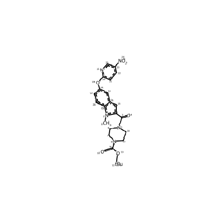 Cn1c(C(=O)N2CCN(C(=O)OC(C)(C)C)CC2)cc2cc(Oc3ccc([N+](=O)[O-])cn3)ccc21